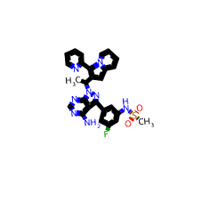 CC(c1cc2ccccn2c1-c1ccccn1)n1nc(-c2cc(F)cc(NS(C)(=O)=O)c2)c2c(N)ncnc21